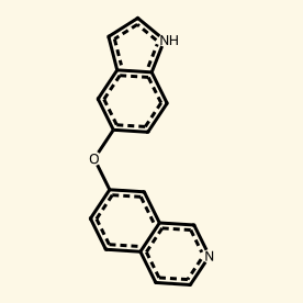 c1cc2ccc(Oc3ccc4[nH]ccc4c3)cc2cn1